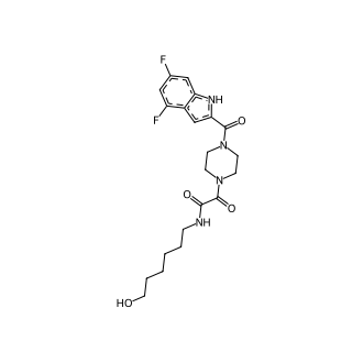 O=C(NCCCCCCO)C(=O)N1CCN(C(=O)c2cc3c(F)cc(F)cc3[nH]2)CC1